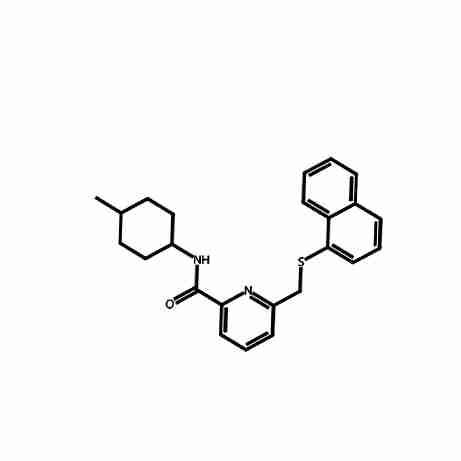 CC1CCC(NC(=O)c2cccc(CSc3cccc4ccccc34)n2)CC1